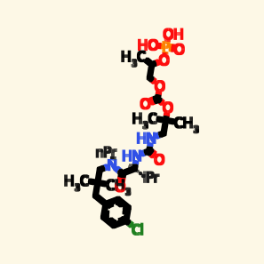 CCCN(CC(C)(C)Cc1ccc(Cl)cc1)C(=O)[C@H](NC(=O)NCC(C)(C)OC(=O)OCC(C)OP(=O)(O)O)C(C)C